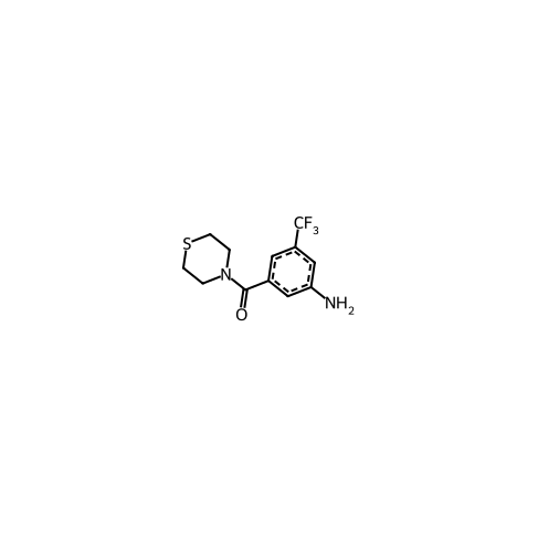 Nc1cc(C(=O)N2CCSCC2)cc(C(F)(F)F)c1